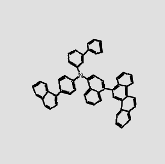 c1ccc(-c2cccc(N(c3ccc(-c4cccc5ccccc45)cc3)c3ccc(-c4cc5c6ccccc6ccc5c5ccccc45)c4ccccc34)c2)cc1